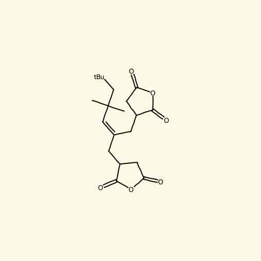 CC(C)(C)CC(C)(C)C=C(CC1CC(=O)OC1=O)CC1CC(=O)OC1=O